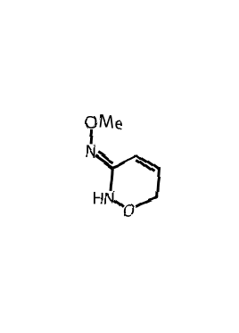 CON=C1C=CCON1